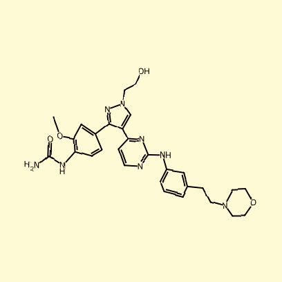 COc1cc(-c2nn(CCO)cc2-c2ccnc(Nc3cccc(CCN4CCOCC4)c3)n2)ccc1NC(N)=O